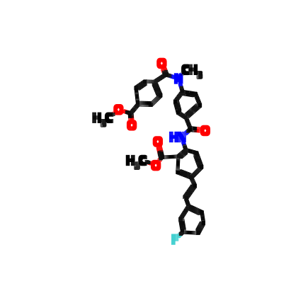 COC(=O)c1ccc(C(=O)N(C)c2ccc(C(=O)Nc3ccc(/C=C/c4cccc(F)c4)cc3C(=O)OC)cc2)cc1